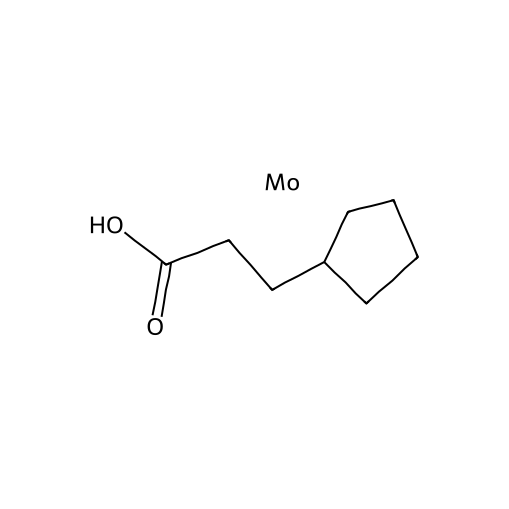 O=C(O)CCC1CCCC1.[Mo]